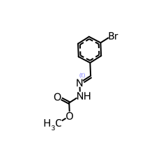 COC(=O)N/N=C/c1cccc(Br)c1